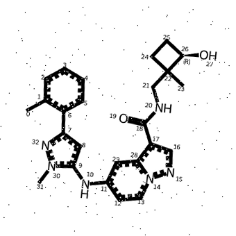 Cc1ccccc1-c1cc(Nc2ccn3ncc(C(=O)NCC4(C)CC[C@H]4O)c3c2)n(C)n1